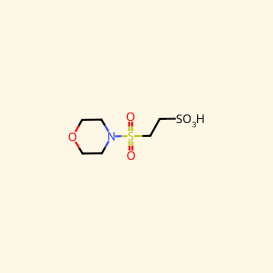 O=S(=O)(O)CCS(=O)(=O)N1CCOCC1